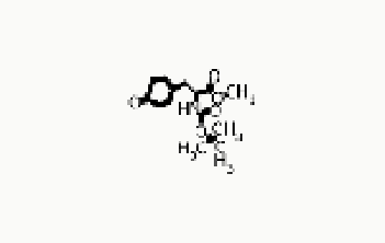 COC(=O)[C@H](CC1CCC(=O)CC1)NC(=O)OC(C)(C)C